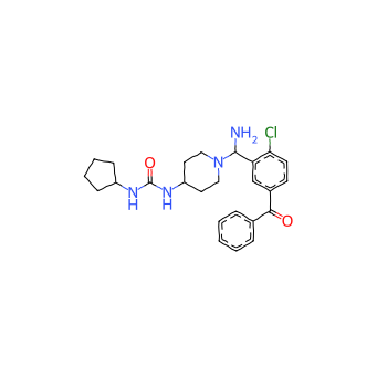 NC(c1cc(C(=O)c2ccccc2)ccc1Cl)N1CCC(NC(=O)NC2CCCC2)CC1